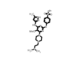 CCCS(=O)(=O)c1ccc(Sc2nc(Nc3cc(C)[nH]n3)c(OC)c(N3CCN(CCN(C)C)CC3)n2)cc1